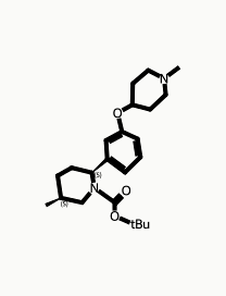 C[C@H]1CC[C@@H](c2cccc(OC3CCN(C)CC3)c2)N(C(=O)OC(C)(C)C)C1